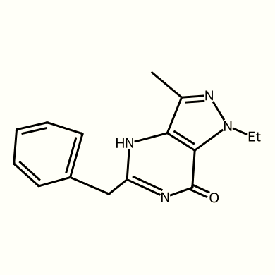 CCn1nc(C)c2[nH]c(Cc3ccccc3)nc(=O)c21